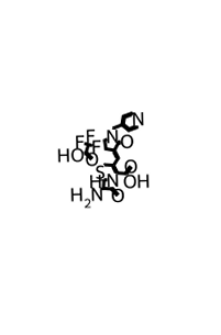 N[C@@H]1C(=O)N2C(C(=O)O)=C(/C=C3\CCN(Cc4ccncc4)C3=O)CS[C@H]12.O=C(O)C(F)(F)F